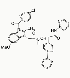 COc1ccc2c(c1)c(CC(=O)NO)c(C)n2C(=O)c1ccc(Cl)cc1.O=C(Cc1ccc(-c2ccccc2)cc1)Nc1ccccn1